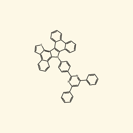 c1ccc(-c2cc(-c3ccccc3)nc(-c3ccc(-n4c5c6ccccc6c6ccccc6c5c5c6sccc6c6ccccc6c54)cc3)n2)cc1